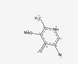 COc1c(C)[nH]cc(Br)c1=O